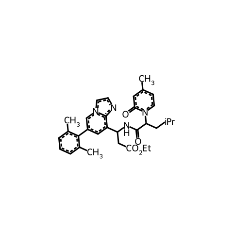 CCOC(=O)CC(NC(=O)C(CC(C)C)n1ccc(C)cc1=O)c1cc(-c2c(C)cccc2C)cn2ccnc12